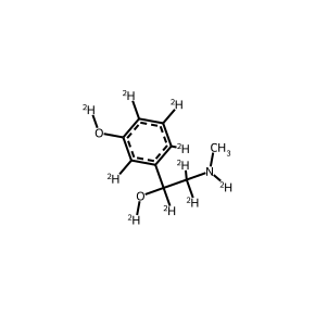 [2H]Oc1c([2H])c([2H])c([2H])c(C([2H])(O[2H])C([2H])([2H])N([2H])C)c1[2H]